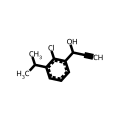 C#CC(O)c1cccc(C(C)C)c1Cl